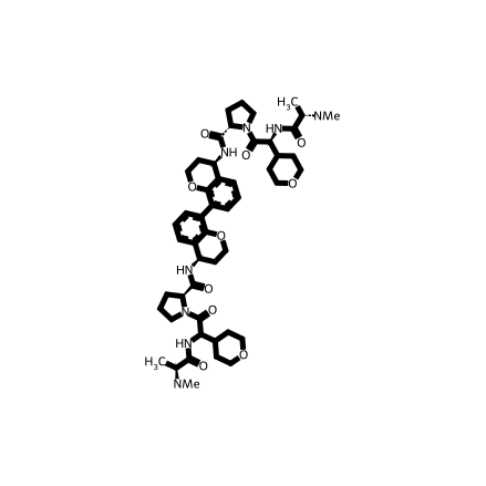 CN[C@@H](C)C(=O)NC(C(=O)N1CCC[C@H]1C(=O)N[C@@H]1CCOc2c(-c3cccc4c3OCC[C@H]4NC(=O)[C@@H]3CCCN3C(=O)[C@@H](NC(=O)[C@H](C)NC)C3CCOCC3)cccc21)C1CCOCC1